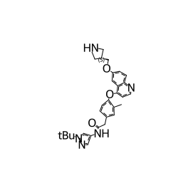 Cc1cc(CC(=O)Nc2cnn(C(C)(C)C)c2)ccc1Oc1ccnc2ccc(OC[C@H]3CCNC3)cc12